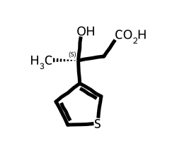 C[C@](O)(CC(=O)O)c1ccsc1